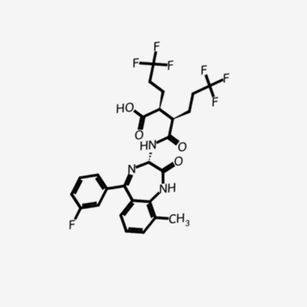 Cc1cccc2c1NC(=O)[C@@H](NC(=O)[C@H](CCC(F)(F)F)[C@H](CCC(F)(F)F)C(=O)O)N=C2c1cccc(F)c1